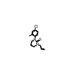 C=CCN1CCCN(c2ccc(Cl)cc2C)C1=S